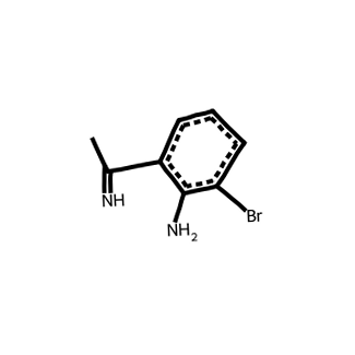 CC(=N)c1cccc(Br)c1N